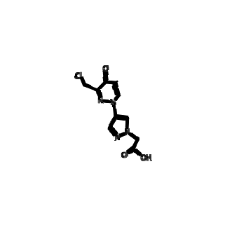 O=C(O)Cn1cc(-n2ccc(=O)c(CCl)n2)cn1